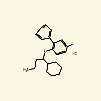 Cl.NCCC(Oc1ccc(Cl)cc1-c1ccccc1)C1CCCCC1